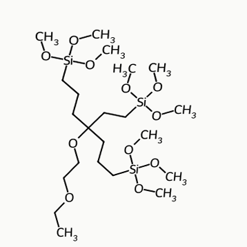 CCOCCOC(CCC[Si](OC)(OC)OC)(CCC[Si](OC)(OC)OC)CC[Si](OC)(OC)OC